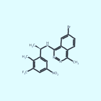 Cc1c([C@@H](C)Nc2nnc(C)c3ccc(Br)cc23)cc([N+](=O)[O-])cc1C(F)(F)F